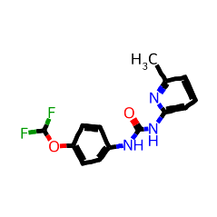 Cc1cccc(NC(=O)Nc2ccc(OC(F)F)cc2)n1